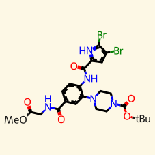 COC(=O)CNC(=O)c1ccc(NC(=O)c2cc(Br)c(Br)[nH]2)c(N2CCN(C(=O)OC(C)(C)C)CC2)c1